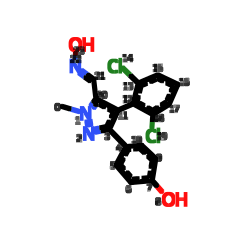 Cn1nc(-c2ccc(O)cc2)c(-c2c(Cl)cccc2Cl)c1C=NO